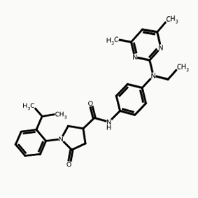 CCN(c1ccc(NC(=O)C2CC(=O)N(c3ccccc3C(C)C)C2)cc1)c1nc(C)cc(C)n1